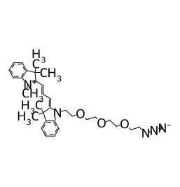 C[N+]1=C(/C=C/C=C2/N(CCOCCOCCOCCN=[N+]=[N-])c3ccccc3C2(C)C)C(C)(C)c2ccccc21